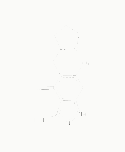 Cc1cc2[nH]nc(N)c2c(=O)n1CC1CCCO1